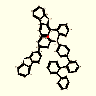 c1ccc(-c2ccccc2-c2ccccc2-c2ccc(N(c3cccc(-c4ccc5c(c4)sc4ccccc45)c3)c3ccccc3-c3cccc4c3sc3ccccc34)cc2)cc1